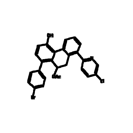 CC(=O)OC1Cc2c(-c3ccc(Cl)cn3)cccc2-c2c(O)ccc(-c3ccc(Br)cc3)c21